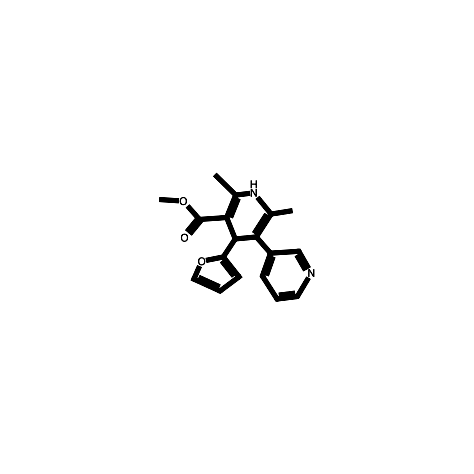 COC(=O)C1=C(C)NC(C)=C(c2cccnc2)C1c1ccco1